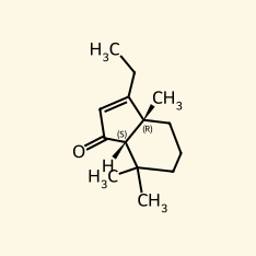 CCC1=CC(=O)[C@H]2C(C)(C)CCC[C@@]12C